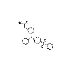 O=C(O)Cc1cccc(C(c2ccccc2)N2CCN(S(=O)(=O)c3ccccc3)CC2)c1